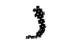 CCCCCc1ccc(C(F)(F)Oc2ccc(-c3ccc(-c4cc(F)c(-c5ccc(F)c(F)c5)c(F)c4)cc3)cc2)cc1